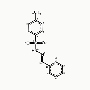 Cc1ccc(S(=O)(=O)NN=Cc2ccccn2)cc1